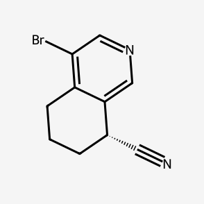 N#C[C@@H]1CCCc2c(Br)cncc21